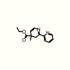 CCOC(=O)C1(C)C=CN=C(c2ccccn2)C1